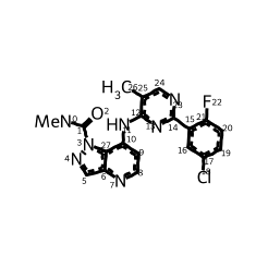 CNC(=O)n1ncc2nccc(Nc3nc(-c4cc(Cl)ccc4F)ncc3C)c21